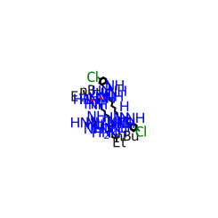 CCCCC(CC)CNC(=N)NC(=N)NCCCCCCNC(=N)NC(=N)NCC(CC)CCCC.N=C(N)N.N=C(NCCCCCCNC(=N)NC(=N)Nc1ccc(Cl)cc1)NC(=N)Nc1ccc(Cl)cc1.NCCN